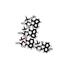 CC(C)(C)[C@@H](C(=O)O)N1C(=O)c2cccc3cccc(c23)C1=O.CC(C)(C)[C@@H](C(=O)O)N1C(=O)c2cccc3cccc(c23)C1=O.CC(C)(C)[C@@H](C(=O)O)N1C(=O)c2cccc3cccc(c23)C1=O.CC(C)(C)[C@@H](C(=O)O)N1C(=O)c2cccc3cccc(c23)C1=O.[Rh].[Rh]